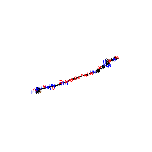 COc1cc2c(Nc3ccc(CC(=O)c4ccc(CNCCOCCOCCOCCOCCOCCOCCOCCOCCNC(=O)CCCCCNC(=O)CCCCCNC(=O)CCCC[C@@H]5SC[C@@H]6NC(=O)N[C@@H]65)cc4)cc3)ncnc2cc1OCCCN1CCOCC1